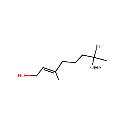 CCC(C)(CCC/C(C)=C/CO)OC